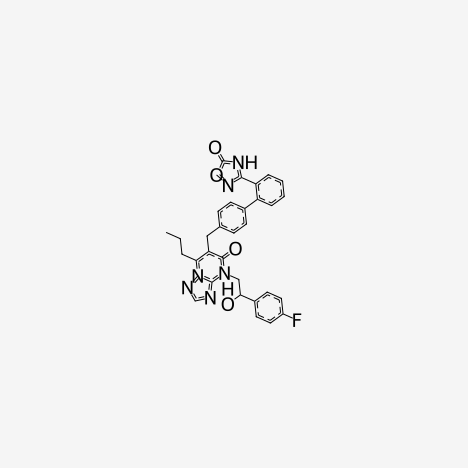 CCCc1c(Cc2ccc(-c3ccccc3-c3noc(=O)[nH]3)cc2)c(=O)n(CC(O)c2ccc(F)cc2)c2ncnn12